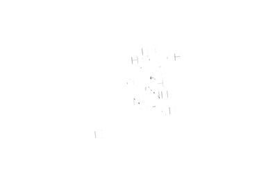 CC(=O)N[C@H]1C(NCCCCO)OC[C@@H]2OC(C)(C)O[C@@H]21